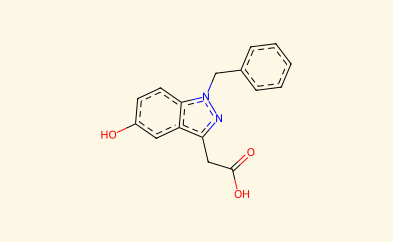 O=C(O)Cc1nn(Cc2ccccc2)c2ccc(O)cc12